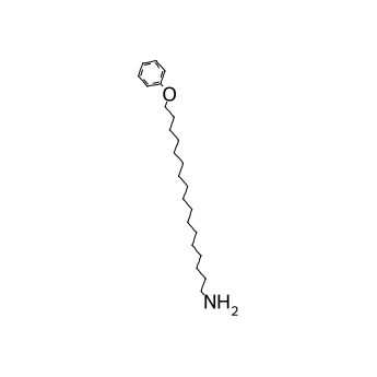 NCCCCCCCCCCCCCCCCCOc1ccccc1